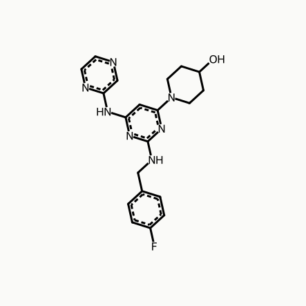 OC1CCN(c2cc(Nc3cnccn3)nc(NCc3ccc(F)cc3)n2)CC1